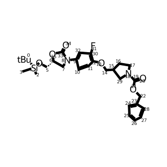 CC(C)(C)[Si](C)(C)OC[C@H]1CN(c2ccc(OCC3CCN(C(=O)OCc4ccccc4)C3)c(F)c2)C(=O)O1